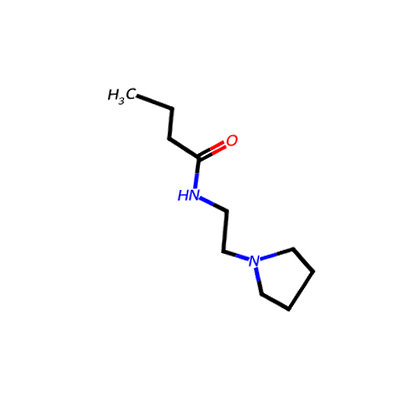 CCCC(=O)NCCN1CCCC1